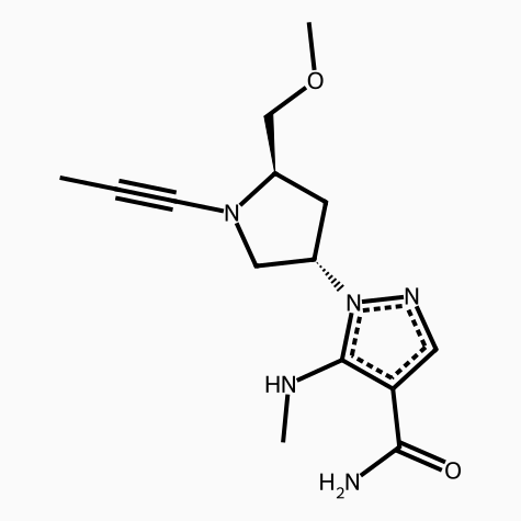 CC#CN1C[C@@H](n2ncc(C(N)=O)c2NC)C[C@@H]1COC